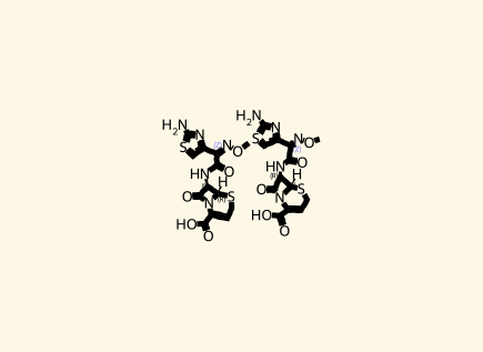 CO/N=C(\C(=O)N[C@@H]1C(=O)N2C(C(=O)O)=CCS[C@H]12)c1csc(N)n1.CO/N=C(\C(=O)N[C@@H]1C(=O)N2C(C(=O)O)=CCS[C@H]12)c1csc(N)n1